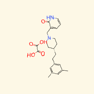 Cc1cc(C)cc(CCC2CCN(Cc3ccc[nH]c3=O)CC2)c1.O=C(O)C(=O)O